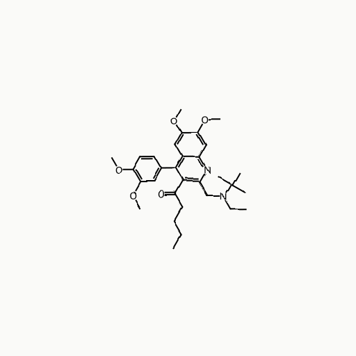 CCCCC(=O)c1c(CN(CC)C(C)(C)C)nc2cc(OC)c(OC)cc2c1-c1ccc(OC)c(OC)c1